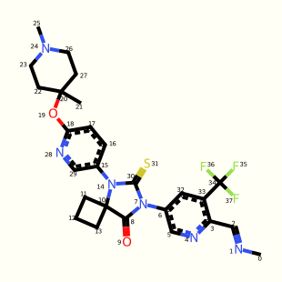 CN=Cc1ncc(N2C(=O)C3(CCC3)N(c3ccc(OC4(C)CCN(C)CC4)nc3)C2=S)cc1C(F)(F)F